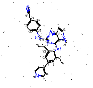 CCc1cc(-c2ccncc2)cc(CC)c1Nc1nc(Nc2ccc(C#N)cc2)nc2ccn(C)c12